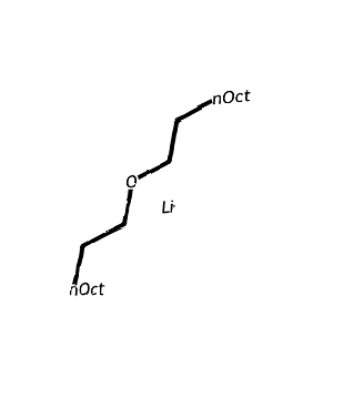 CCCCCCCCCCOCCCCCCCCCC.[Li]